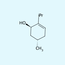 CC(C)C1=CC[C@H](C)C[C@H]1O